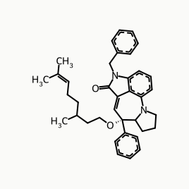 CC(C)=CCCC(C)CCO[C@]1(c2ccccc2)C=C2C(=O)N(Cc3ccccc3)c3cccc(c32)N2CCCC21